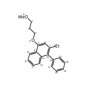 CCc1cc(OCCCOC)c2ccccc2c1-c1ccccc1